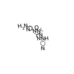 CC(C)N1C(=O)N(c2ccc(N)nc2)Cc2cnc(NC3CCC(N(C)C)CC3)nc21